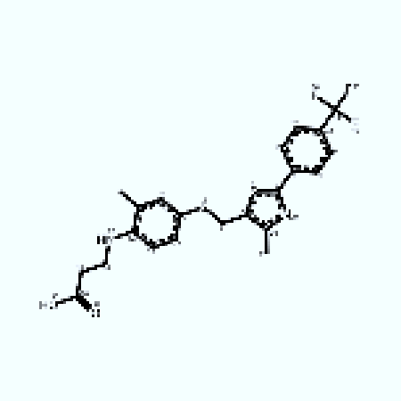 Cc1cc(SCc2sc(-c3ccc(C(F)(F)F)cc3)nc2C)ccc1NCCC(=O)O